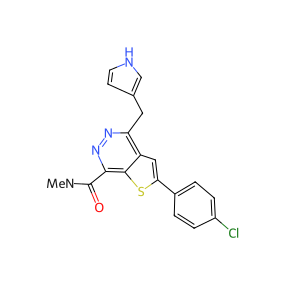 CNC(=O)c1nnc(Cc2cc[nH]c2)c2cc(-c3ccc(Cl)cc3)sc12